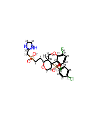 O=S(=O)(CC[C@@H]1OCC[C@@]2(S(=O)(=O)c3ccc(Cl)cc3)c3c(F)ccc(F)c3OC[C@@H]12)CC1=NCCN1